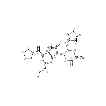 CCOc1cc(NC2CCCC2)c2[nH]c(C[C@H](C3CSC=N3)N3CCNC(=O)C3)cc2c1